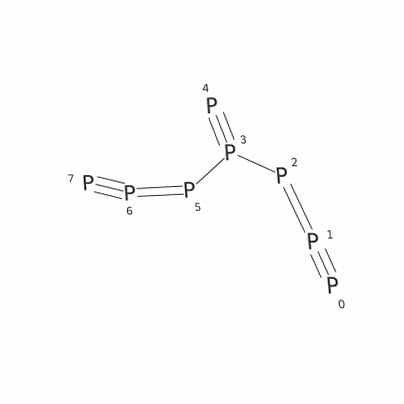 P#P=PP(#P)P=P#P